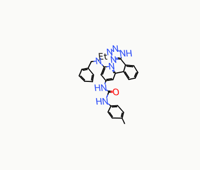 CCN(Cc1ccccc1)c1cc(NC(=O)Nc2ccc(C)cc2)cc(-c2ccccc2-c2nnn[nH]2)n1